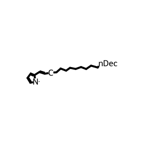 CCCCCCCCCCCCCCCCCCCCC=CC1=CC=C[N]1